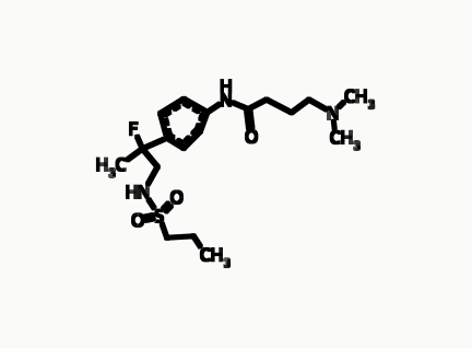 CCCS(=O)(=O)NCC(C)(F)c1ccc(NC(=O)CCCN(C)C)cc1